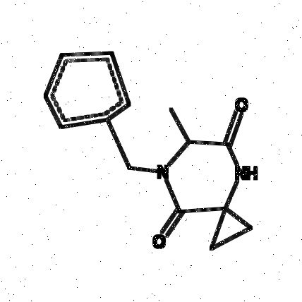 CC1C(=O)NC2(CC2)C(=O)N1Cc1ccccc1